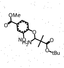 COC(=O)c1ccc(OC(N)C(C)(C)C(=O)OC(C)(C)C)c([N+](=O)[O-])c1